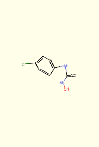 C=C(NO)Nc1ccc(Cl)cc1